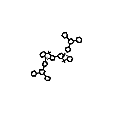 CC1(C)c2ccccc2N(c2ccc(-c3cc(-c4ccccc4)cc(-c4ccccc4)c3)cc2)c2ccc(-c3ccc4c(c3)C(C)(C)c3ccccc3N4c3ccc(-c4cc(-c5ccccc5)cc(-c5ccccc5)c4)cc3)cc21